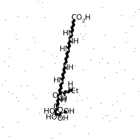 CCNCCNC(CCCCNCCCCNCCCCCCNCCNCCNCCCCCC(=O)O)C(=O)NCCO[C@H]1O[C@H](CO)[C@@H](O)[C@H](O)[C@@H]1O